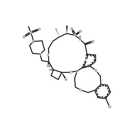 C[C@@H]1[C@@H](C)CCC[C@@](O)(CN2CCN(S(C)(=O)=O)CC2)[C@@H]2CC[C@H]2CN2CCCCc3cc(Cl)ccc3COc3ccc(cc32)C(=O)NS1(=O)=O